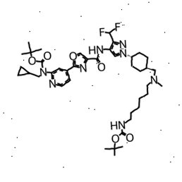 CN(CCCCCCNC(=O)OC(C)(C)C)C[C@H]1CC[C@H](n2cc(NC(=O)c3coc(-c4ccnc(N(CC5CC5)C(=O)OC(C)(C)C)c4)n3)c(C(F)F)n2)CC1